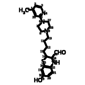 Cc1ccnc(N2CCN(CCCCC3Sc4cc(O)ccc4NC3C=O)CC2)c1